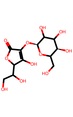 O=C1OC(C(O)CO)C(O)=C1O[C@@H]1OC(CO)[C@H](O)C(O)C1O